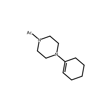 CC(=O)N1CCN(C2=CCCCC2)CC1